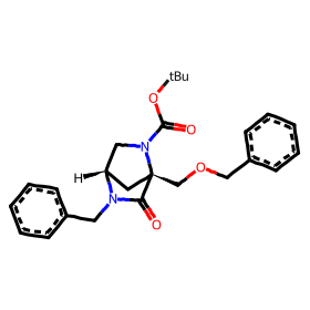 CC(C)(C)OC(=O)N1C[C@@H]2C[C@@]1(COCc1ccccc1)C(=O)N2Cc1ccccc1